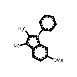 COc1ccc2c(C#N)c(C)n(-c3ccccc3)c2c1